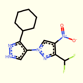 O=[N+]([O-])c1cn(-c2c[nH]nc2C2[CH]CCCC2)nc1C(F)F